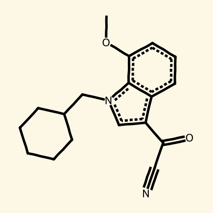 COc1cccc2c(C(=O)C#N)cn(CC3CCCCC3)c12